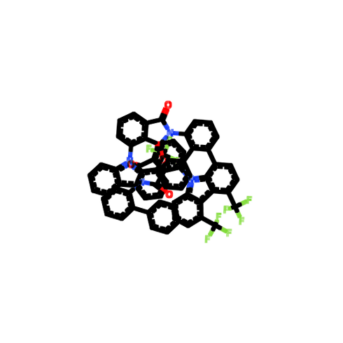 O=C1c2cccc(-n3c4cccc(C(F)(F)F)c4c4c(C(F)(F)F)ccc(-c5cccc(N6C(=O)c7cccc(-n8c9ccccc9c9cccc(C(F)(F)F)c98)c7C6=O)c5-c5ccccc5)c43)c2C(=O)N1c1ccccc1-c1ccccc1